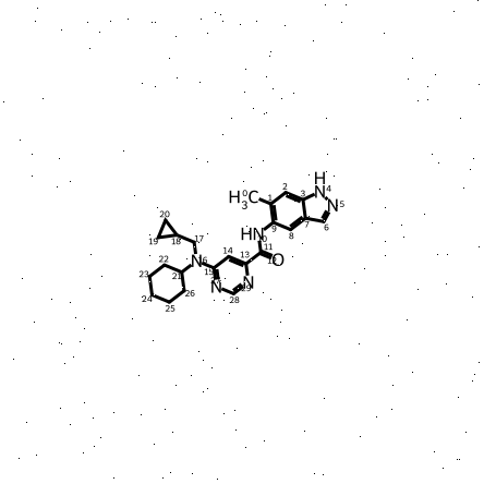 Cc1cc2[nH]ncc2cc1NC(=O)c1cc(N(CC2CC2)C2CCCCC2)ncn1